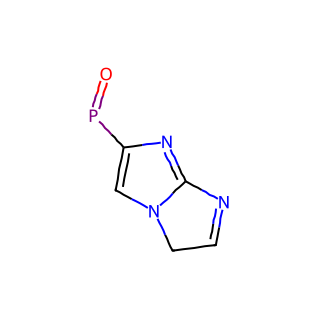 O=Pc1cn2c(n1)N=CC2